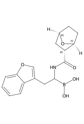 O=C(NC(Cc1coc2ccccc12)B(O)O)[C@@H]1C[C@H]2CC[C@@H]1O2